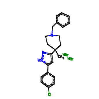 Br.Br.CC1(c2cc(-c3ccc(Cl)cc3)[nH]n2)CCN(Cc2ccccc2)CC1